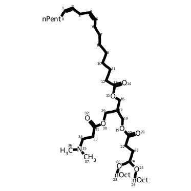 CCCCC/C=C\C/C=C\CCCCCCCC(=O)OCC(COC(=O)CCC(OCCCCCCCC)OCCCCCCCC)COC(=O)CCN(C)C